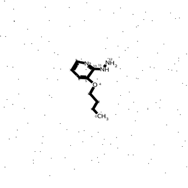 CCCCOc1cccnc1NN